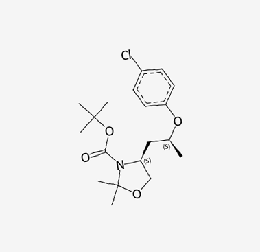 C[C@@H](C[C@H]1COC(C)(C)N1C(=O)OC(C)(C)C)Oc1ccc(Cl)cc1